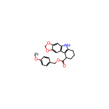 CC(C)Oc1ccc(COC(=O)C2CCCc3[nH]c4cc5c(cc4c32)OCO5)cc1